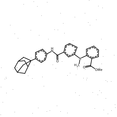 COC(=O)c1ccccc1N(C)c1cccc(C(=O)Nc2ccc(C34CC5CC(CC3C5)C4)cc2)c1